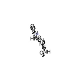 C=CC(=O)NC1CN(c2ccnc(CC(=O)NN(C)/C=N\C(=C)N3CCOCC3)n2)C1